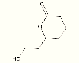 O=C1CCCC(CCO)O1